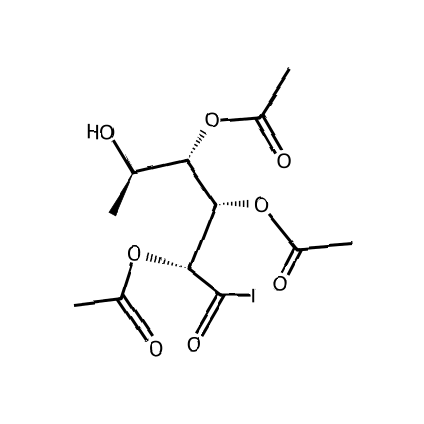 CC(=O)O[C@H]([C@H](OC(C)=O)[C@@H](OC(C)=O)C(=O)I)[C@@H](C)O